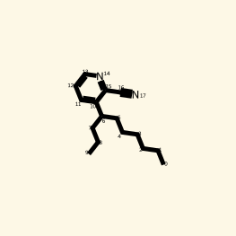 CCCCCCC(CCC)c1cccnc1C#N